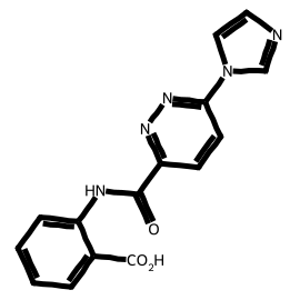 O=C(Nc1ccccc1C(=O)O)c1ccc(-n2ccnc2)nn1